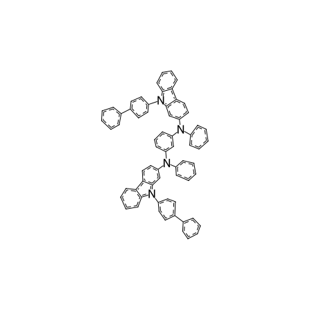 c1ccc(-c2ccc(-n3c4ccccc4c4ccc(N(c5ccccc5)c5cccc(N(c6ccccc6)c6ccc7c8ccccc8n(-c8ccc(-c9ccccc9)cc8)c7c6)c5)cc43)cc2)cc1